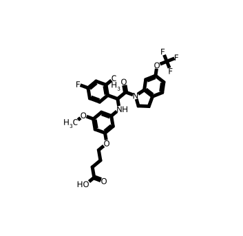 COc1cc(NC(C(=O)N2CCc3ccc(OC(F)(F)F)cc32)c2ccc(F)cc2C)cc(OCCCC(=O)O)c1